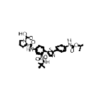 CC(C)OC(=O)Nc1ccc(-c2ncc(-c3ccc(NC(=O)[C@@H]4CCCN4C(=O)O)cc3S(=O)(=O)NC(C)(C)C)s2)cc1